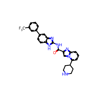 O=C(Nc1nc2cc(-c3cccc(C(F)(F)F)c3)ccc2[nH]1)c1cn2c(C3CCNCC3)cccc2n1